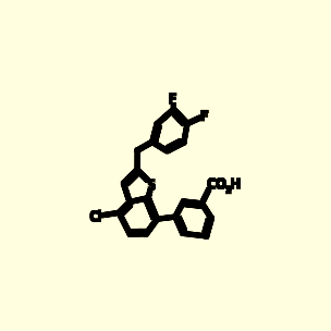 O=C(O)c1cccc(-c2ccc(Cl)c3cc(Cc4ccc(F)c(F)c4)sc23)c1